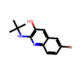 CC(C)(C)Nc1nc2ccc(Br)cc2cc1O